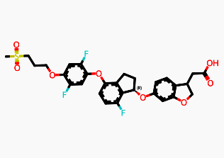 CS(=O)(=O)CCCOc1cc(F)c(Oc2ccc(F)c3c2CC[C@H]3Oc2ccc3c(c2)OCC3CC(=O)O)cc1F